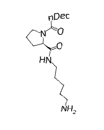 CCCCCCCCCCC(=O)N1CCC[C@@H]1C(=O)NCCCCCN